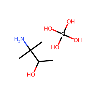 CC(O)C(C)(C)N.O[Si](O)(O)O